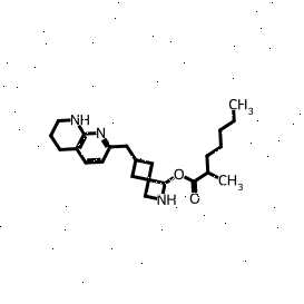 CCCCCC(C)C(=O)OC1NCC12CC(Cc1ccc3c(n1)NCCC3)C2